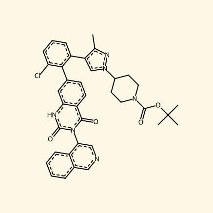 Cc1nn(C2CCN(C(=O)OC(C)(C)C)CC2)cc1-c1cccc(Cl)c1-c1ccc2c(=O)n(-c3cncc4ccccc34)c(=O)[nH]c2c1